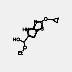 CCOC(O)c1cc2sc(OC3CC3)nc2[nH]1